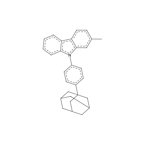 Cc1ccc2c3ccccc3n(-c3ccc(C45CC6CC(CC(C6)C4)C5)cc3)c2c1